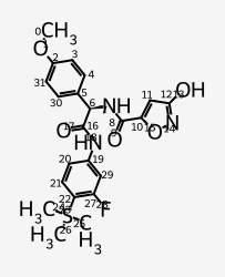 COc1ccc([C@@H](NC(=O)c2cc(O)no2)C(=O)Nc2ccc(S(C)(C)C)c(F)c2)cc1